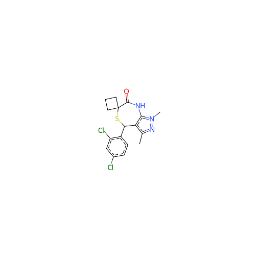 Cc1nn(C)c2c1C(c1ccc(Cl)cc1Cl)SC1(CCC1)C(=O)N2